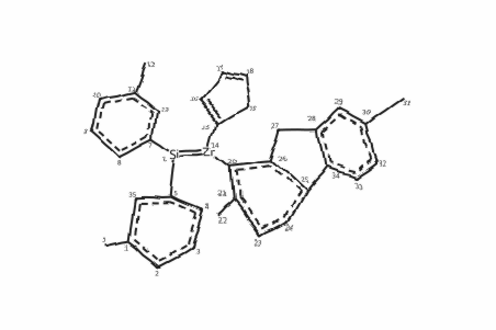 Cc1cccc([Si](c2cccc(C)c2)=[Zr]([C]2=CC=CC2)[c]2c(C)ccc3c2Cc2cc(C)ccc2-3)c1